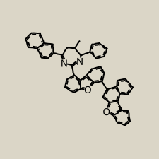 CC1CC(c2ccc3ccccc3c2)=NC(c2cccc3oc4c(-c5cc6oc7ccccc7c6c6ccccc56)cccc4c23)=NC1c1ccccc1